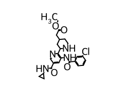 CCOC(=O)CC1CCNC(c2ncc(C(=O)NC3CC3)cc2NC(=O)c2cccc(Cl)c2)C1